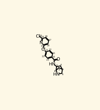 O=C(NC1CC2CNC1C2)c1ccc(Oc2cccc(Cl)n2)cc1